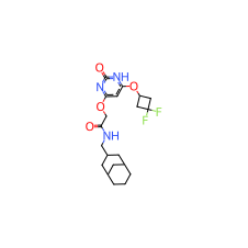 O=C(COc1cc(OC2CC(F)(F)C2)[nH]c(=O)n1)NCC1CC2CCCC(C2)C1